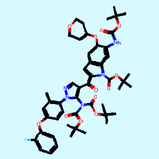 Cc1cc(Oc2ccccc2F)ccc1-n1ncc(C(=O)c2cc3cc(OC4CCOCC4)c(NC(=O)OC(C)(C)C)cc3n2C(=O)OC(C)(C)C)c1N(C(=O)OC(C)(C)C)C(=O)OC(C)(C)C